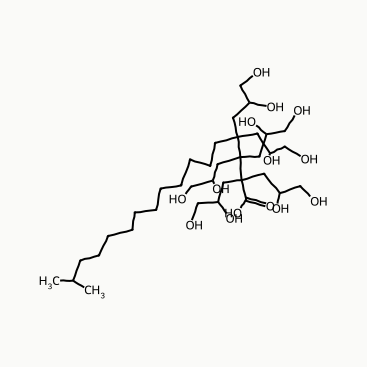 CC(C)CCCCCCCCCCCC(CC(O)CO)(CC(O)CO)C(CC(O)CO)(CC(O)CO)C(CC(O)CO)(CC(O)CO)C(=O)O